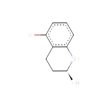 C[C@H]1CCc2c(O)cccc2N1